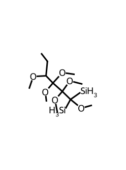 CCC(OC)C(OC)(OC)C(OC)(OC)C([SiH3])([SiH3])OC